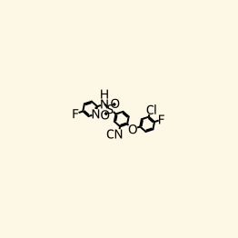 N#Cc1cc(S(=O)(=O)Nc2ccc(F)cn2)ccc1Oc1ccc(F)c(Cl)c1